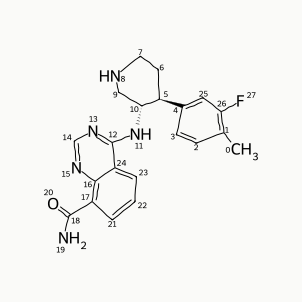 Cc1ccc([C@@H]2CCNC[C@H]2Nc2ncnc3c(C(N)=O)cccc23)cc1F